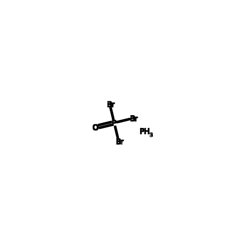 O=P(Br)(Br)Br.P